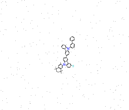 Cc1cc2c(cc1-n1c3ccc(F)cc3c3cc(-c4ccc5c(c4)c4ccccc4n5-c4cccc(-c5ccccc5)c4)ccc31)C(C)(C)CCC2(C)C